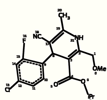 COCC1=C(C(=O)OC(C)C)C(c2ccc(Cl)cc2F)C(C#N)=C(C)N1